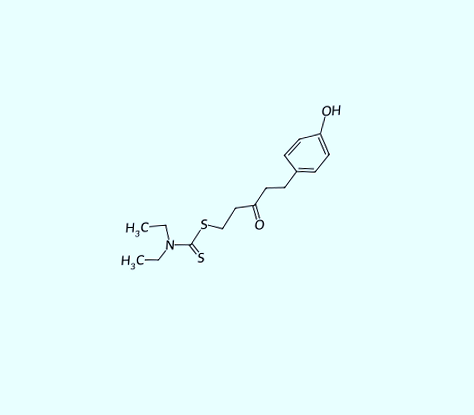 CCN(CC)C(=S)SCCC(=O)CCc1ccc(O)cc1